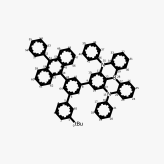 CC(C)(C)c1cccc(-c2cc(-c3cc4c5c(c3)N(c3ccccc3)c3ccccc3B5c3ccccc3N4c3ccccc3)cc(-c3c4ccccc4c(-c4ccccc4)c4ccccc34)c2)c1